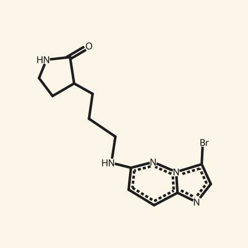 O=C1NCCC1CCCNc1ccc2ncc(Br)n2n1